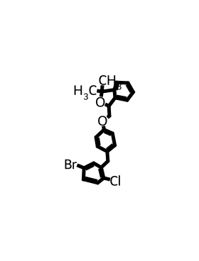 CC1(C)OC(COc2ccc(Cc3cc(Br)ccc3Cl)cc2)c2ccccc21